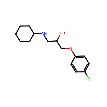 OC(CNC1CCCCC1)COc1ccc(Cl)cc1